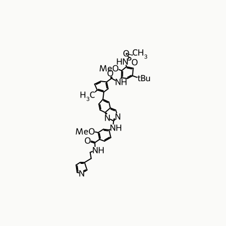 COc1cc(Nc2ncc3cc(-c4cc(C(=O)Nc5cc(C(C)(C)C)cc(NS(C)(=O)=O)c5OC)ccc4C)ccc3n2)ccc1C(=O)NCCc1cccnc1